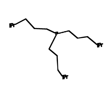 CC(C)CCCP(CCCC(C)C)CCCC(C)C